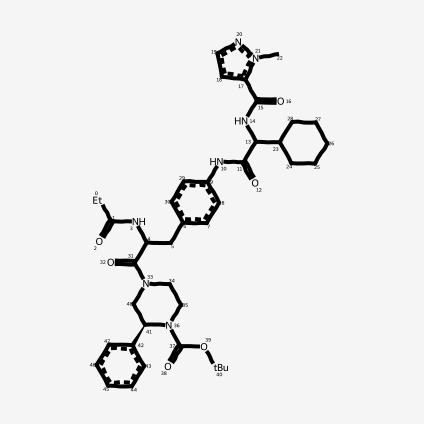 CCC(=O)NC(Cc1ccc(NC(=O)C(NC(=O)c2ccnn2C)C2CCCCC2)cc1)C(=O)N1CCN(C(=O)OC(C)(C)C)[C@@H](c2ccccc2)C1